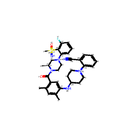 Cc1cc(C)c(C(=O)N2CCN(c3cccc(F)c3[S@](C)(=N)=O)C[C@@H]2C)cc1NC1CCN(c2ccccc2C#N)CC1